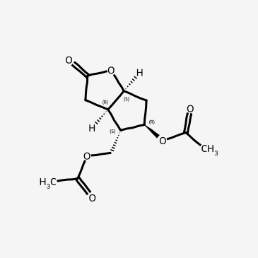 CC(=O)OC[C@@H]1[C@H]2CC(=O)O[C@H]2C[C@H]1OC(C)=O